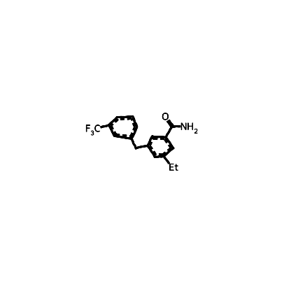 CCc1cc(Cc2cccc(C(F)(F)F)c2)cc(C(N)=O)c1